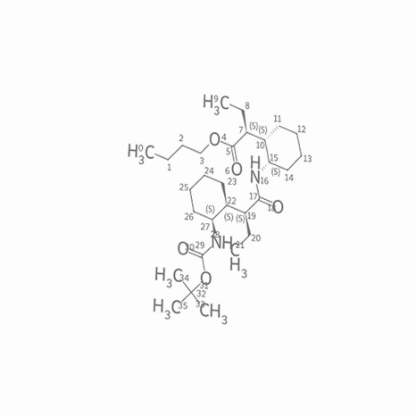 CCCCOC(=O)[C@@H](CC)[C@@H]1CCCC[C@@H]1NC(=O)[C@@H](CC)[C@@H]1CCCC[C@@H]1NC(=O)OC(C)(C)C